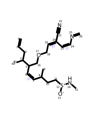 C=CCC(F)C(/C=C\C(C)CC[S+]([O-])NC)COC/C=C(C#N)\C=C/N=C